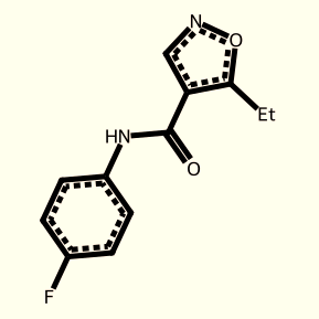 CCc1oncc1C(=O)Nc1ccc(F)cc1